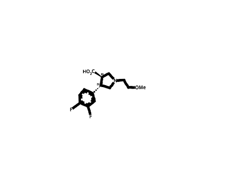 COCCN1C[C@H](C(=O)O)[C@@H](c2ccc(F)c(F)c2)C1